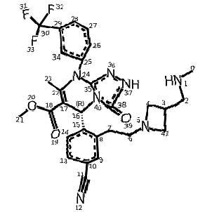 CNCC1CN(CCc2cc(C#N)ccc2[C@@H]2C(C(=O)OC)=C(C)N(c3cccc(C(F)(F)F)c3)c3n[nH]c(=O)n32)C1